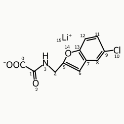 O=C([O-])C(=O)NCc1cc2cc(Cl)ccc2o1.[Li+]